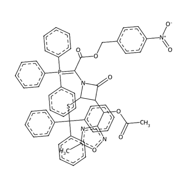 CC(=O)OC(c1noc(C)n1)C1C(=O)N(C(C(=O)OCc2ccc([N+](=O)[O-])cc2)=P(c2ccccc2)(c2ccccc2)c2ccccc2)C1SC(c1ccccc1)(c1ccccc1)c1ccccc1